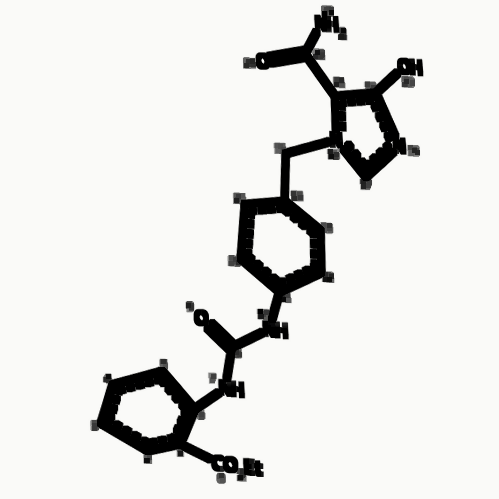 CCOC(=O)c1ccccc1NC(=O)Nc1ccc(Cn2cnc(O)c2C(N)=O)cc1